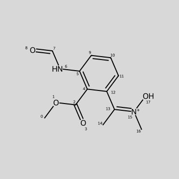 COC(=O)c1c(NC=O)cccc1C(C)=[N+](C)O